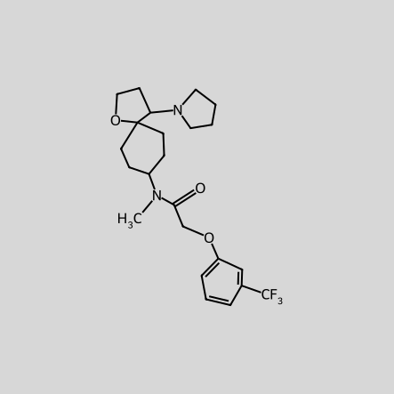 CN(C(=O)COc1cccc(C(F)(F)F)c1)C1CCC2(CC1)OCCC2N1CCCC1